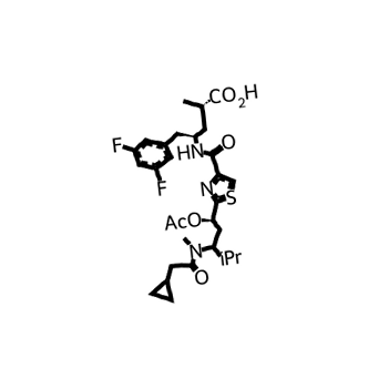 CC(=O)O[C@H](CC(C(C)C)N(C)C(=O)CC1CC1)c1nc(C(=O)N[C@@H](Cc2cc(F)cc(F)c2)C[C@H](C)C(=O)O)cs1